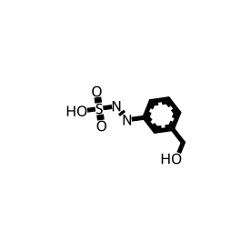 O=S(=O)(O)N=Nc1cccc(CO)c1